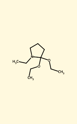 CCOC1(OCC)CCCN1CC